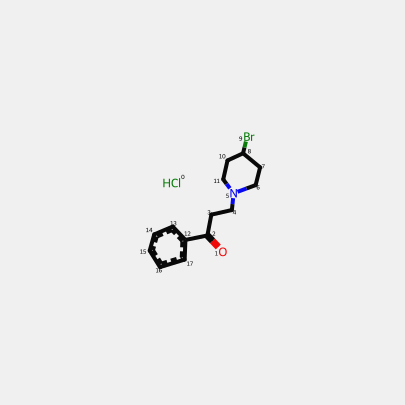 Cl.O=C(CCN1CCC(Br)CC1)c1ccccc1